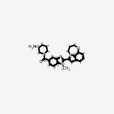 Cn1c(-c2cc3cccc4c3n2CCCO4)nc2cc(C(=O)N3CCC[C@@H](N)C3)ccc21